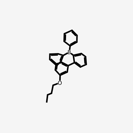 CCCCOc1cccc(-c2ccccc2B(c2ccccc2)c2ccccc2)c1